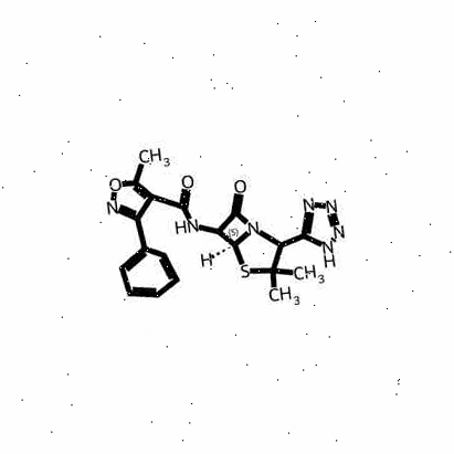 Cc1onc(-c2ccccc2)c1C(=O)NC1C(=O)N2C(c3nnn[nH]3)C(C)(C)S[C@@H]12